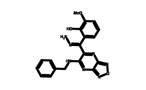 COc1cccc(C(=NN)c2nc3nonc3nc2NCc2ccccc2)c1O